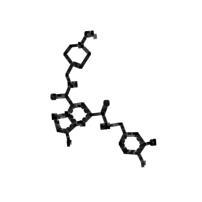 CN1CC=C(CNC(=O)c2cc(C(=O)NCc3ccc(F)c(Cl)c3)nc3c(F)cnn23)CC1